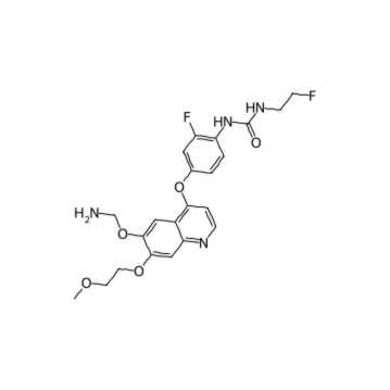 COCCOc1cc2nccc(Oc3ccc(NC(=O)NCCF)c(F)c3)c2cc1OCN